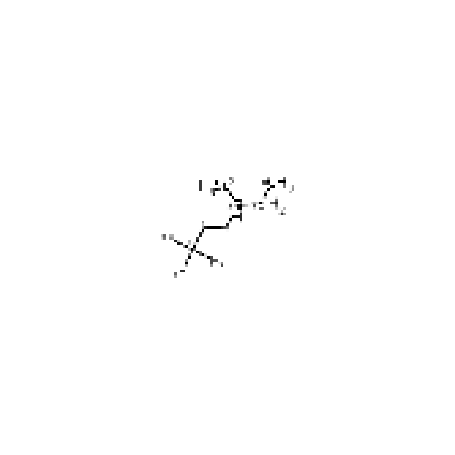 C[SiH2][SiH]([SiH3])CCC(F)(F)F